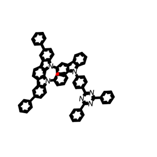 c1ccc(-c2ccc3c(c2)c2ccc4c5cc(-c6ccccc6)ccc5n(-c5ccc6c(c5)c5ccccc5n6-c5ccc(-c6nc(-c7ccccc7)nc(-c7ccccc7)n6)cc5)c4c2n3-c2ccccc2)cc1